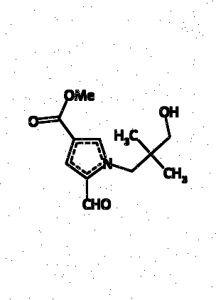 COC(=O)c1cc(C=O)n(CC(C)(C)CO)c1